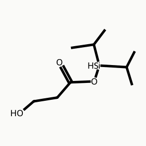 CC(C)[SiH](OC(=O)CCO)C(C)C